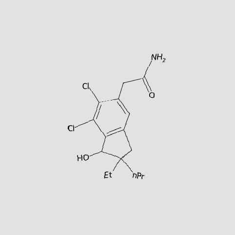 CCCC1(CC)Cc2cc(CC(N)=O)c(Cl)c(Cl)c2C1O